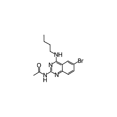 CCCCNc1nc(NC(C)=O)nc2ccc(Br)cc12